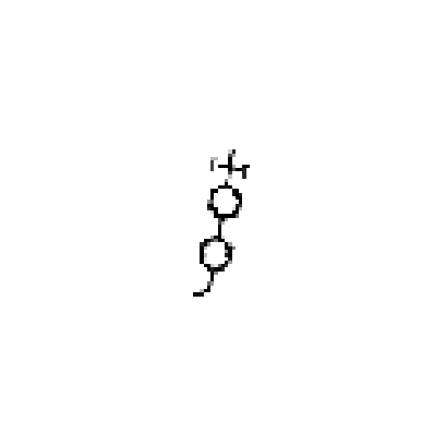 CCc1ccc(-c2ccc(C(C)(F)F)cc2)cc1